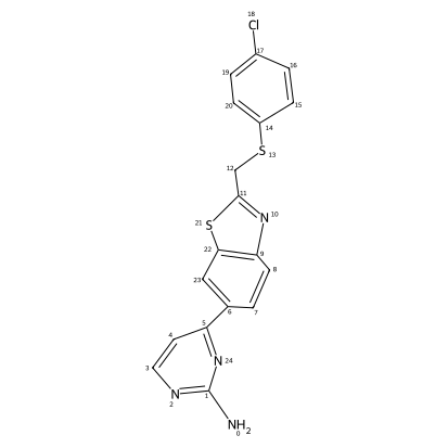 Nc1nccc(-c2ccc3nc(CSc4ccc(Cl)cc4)sc3c2)n1